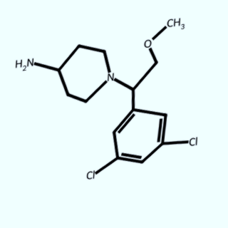 COCC(c1cc(Cl)cc(Cl)c1)N1CCC(N)CC1